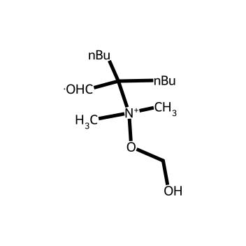 CCCCC([C]=O)(CCCC)[N+](C)(C)OCO